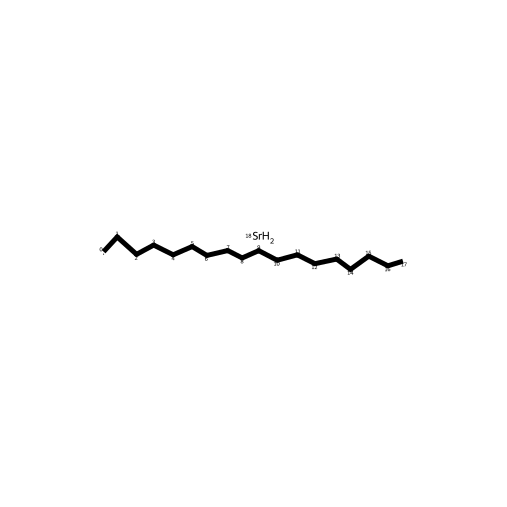 [CH2]CCCCCCCCCCCCCCCCC.[SrH2]